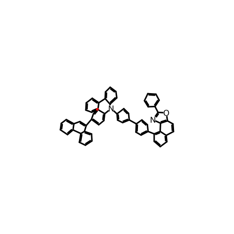 c1ccc(-c2nc3c(ccc4cccc(-c5ccc(-c6ccc(N(c7ccc(-c8cc9ccccc9c9ccccc89)cc7)c7ccccc7-c7ccccc7)cc6)cc5)c43)o2)cc1